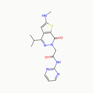 CNc1cc2c(C(C)C)nn(CC(=O)Nc3ncccn3)c(=O)c2s1